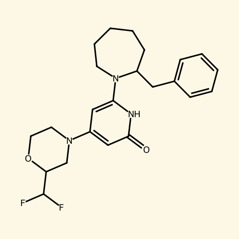 O=c1cc(N2CCOC(C(F)F)C2)cc(N2CCCCCC2Cc2ccccc2)[nH]1